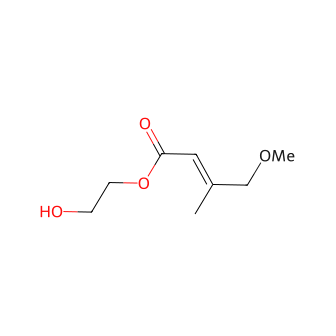 COCC(C)=CC(=O)OCCO